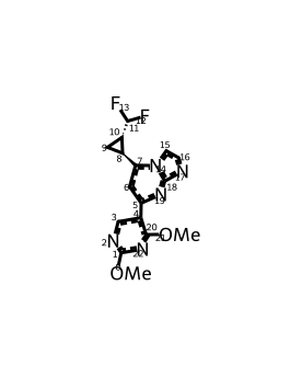 COc1ncc(-c2cc([C@H]3C[C@@H]3C(F)F)n3ccnc3n2)c(OC)n1